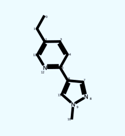 CCc1ccc(-c2cnn(C)c2)nc1